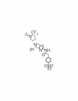 CCS(=O)(=O)c1ccc(CC(=O)Nc2nc3c(s2)CN(C[C@H]2CC[C@@H](C(F)(F)F)N(C4CC4)C2)[C@H]3C(C)C)cc1